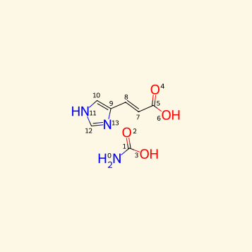 NC(=O)O.O=C(O)C=Cc1c[nH]cn1